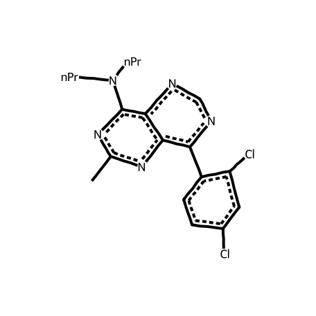 CCCN(CCC)c1nc(C)nc2c(-c3ccc(Cl)cc3Cl)ncnc12